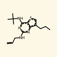 C=CCNc1nc(NC(C)(C)C)c2scc(CCC)c2n1